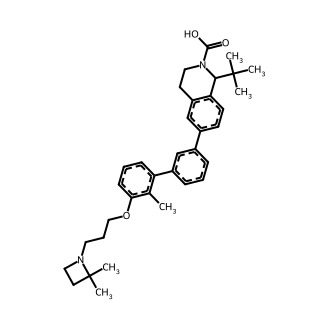 Cc1c(OCCCN2CCC2(C)C)cccc1-c1cccc(-c2ccc3c(c2)CCN(C(=O)O)C3C(C)(C)C)c1